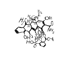 C=C1c2cccc(O)c2C(=O)C2=C(O)[C@]3(O)C(=O)C(C(N)=O)=C(O)[C@@H](N(C)C)[C@@H]3[C@@H](O)[C@H]12.O=C(O)c1cccc(S(=O)(=O)O)c1O